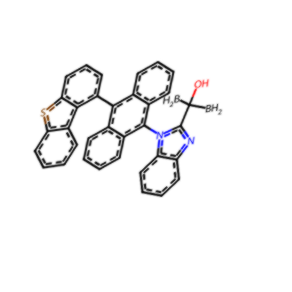 BC(B)(O)c1nc2ccccc2n1-c1c2ccccc2c(-c2cccc3sc4ccccc4c23)c2ccccc12